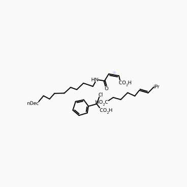 CC(C)C=CCCCCC(=O)O.CCCCCCCCCCCCCCCCCCNC(=O)/C=C\C(=O)O.O=C(O)C(Cl)c1ccccc1